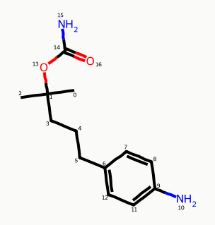 CC(C)(CCCc1ccc(N)cc1)OC(N)=O